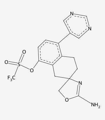 NC1=NC2(CCc3c(-c4cncnc4)ccc(OS(=O)(=O)C(F)(F)F)c3C2)CO1